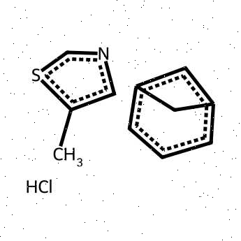 Cc1cncs1.Cl.c1cc2cc(c1)C2